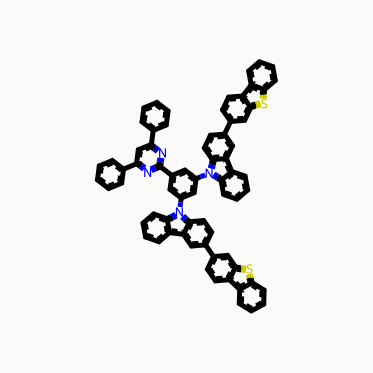 c1ccc(-c2cc(-c3ccccc3)nc(-c3cc(-n4c5ccccc5c5cc(-c6ccc7c(c6)sc6ccccc67)ccc54)cc(-n4c5ccccc5c5cc(-c6ccc7c(c6)sc6ccccc67)ccc54)c3)n2)cc1